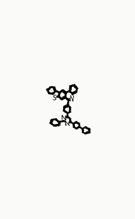 c1ccc(-c2ccc(-c3cc(-c4ccc(-c5nc6ccccc6c6cc7c(cc56)sc5ccccc57)cc4)nc(-c4ccccc4)n3)cc2)cc1